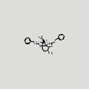 C=C(C)C1(OCOCc2ccccc2)CCC(C)C(OCOCc2ccccc2)C1(O)C#CC